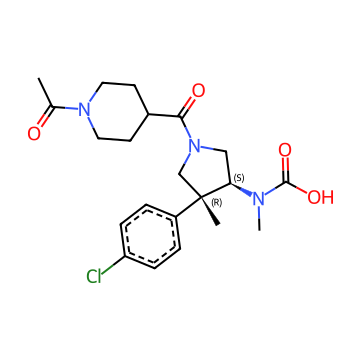 CC(=O)N1CCC(C(=O)N2C[C@@H](N(C)C(=O)O)[C@](C)(c3ccc(Cl)cc3)C2)CC1